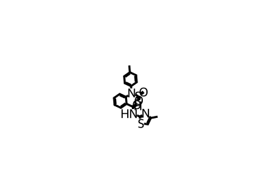 Cc1ccc(N(c2ccccc2C(=O)Nc2nc(C)cs2)[SH](=O)=O)cc1